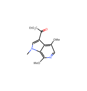 CCOC(=O)C(=O)c1cn(C)c2c(OC)ncc(OC)c12